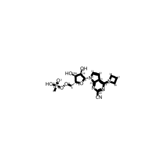 CP(=O)(O)OOC[C@H]1O[C@@H](n2ccc3c(N4CCC4)nc(C#N)nc32)[C@H](O)[C@@H]1O